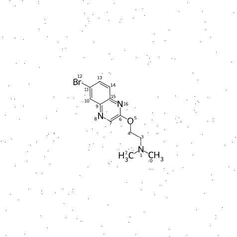 CN(C)CCOc1cnc2cc(Br)ccc2n1